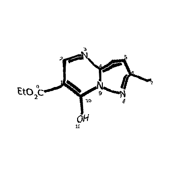 CCOC(=O)c1cnc2cc(C)nn2c1O